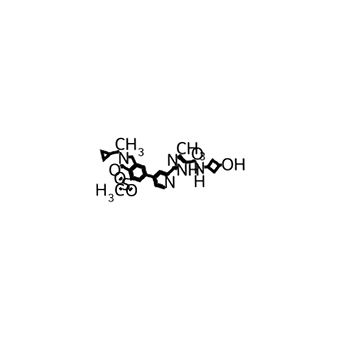 Cc1nc(-c2cc(-c3cc4c(c(S(C)(=O)=O)c3)C(=O)N([C@@H](C)C3CC3)C4)ccn2)[nH]c1C(=O)NC1CC(O)C1